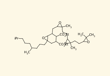 CCOC(=O)C1CC2(CCCC(C)CCCC(C)C)OC2C(CC2OC2(C)CCC2OC2(C)CCC2OC2(C)C)C1C(=O)OCC